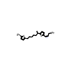 CC(C)C/C=C\c1ccc(C(C)CCCCCc2ccc(C(C)C)s2)s1